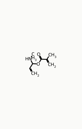 C=CC(NC)OC(=O)C(=C)C